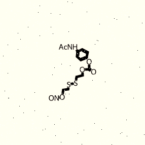 CC(=O)Nc1ccc(OC(=O)OCCSSCCON=O)cc1